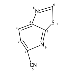 N#Cc1ccc2ncsc2n1